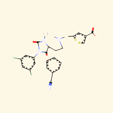 CN1C(=O)N(c2cc(Cl)cc(Cl)c2)C(=O)[C@@]12CN(Cc1cc(C(=O)O)cs1)C[C@@H]2c1ccc(C#N)cc1